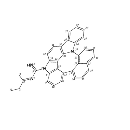 CC/C(C)=N/C(=N)n1c2cccc3c4cccc5cccc(c54)n4c5ccccc5c5ccc1c(c32)c54